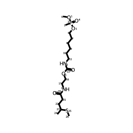 COP(C)(=O)OCCCCCCNC(=O)OCCNC(=O)CCC(C)SC